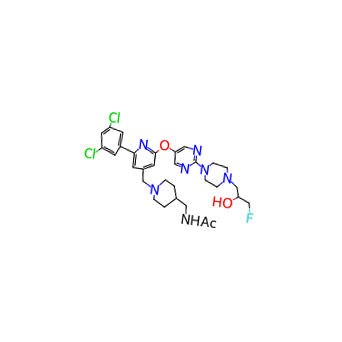 CC(=O)NCC1CCN(Cc2cc(Oc3cnc(N4CCN(CC(O)CF)CC4)nc3)nc(-c3cc(Cl)cc(Cl)c3)c2)CC1